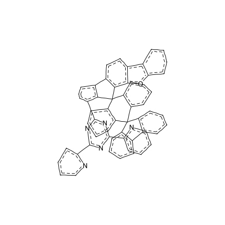 c1ccc(-c2nc(-c3ccccn3)nc(-c3cccc4c3C3(c5ccccc5C5(c6ccccc6-c6ccccc65)c5ccccc53)c3c-4ccc4c3oc3ccccc34)n2)nc1